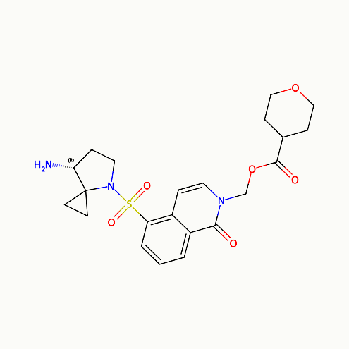 N[C@@H]1CCN(S(=O)(=O)c2cccc3c(=O)n(COC(=O)C4CCOCC4)ccc23)C12CC2